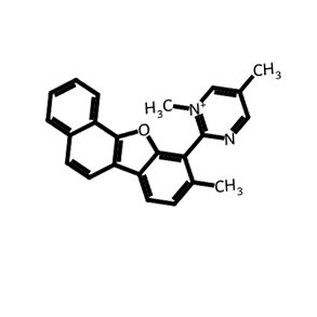 Cc1cnc(-c2c(C)ccc3c2oc2c4ccccc4ccc32)[n+](C)c1